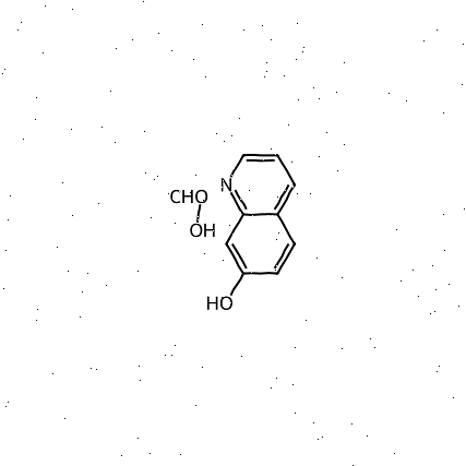 O=CO.Oc1ccc2cccnc2c1